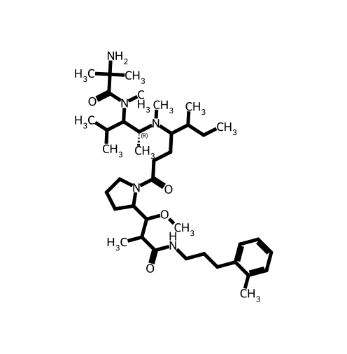 CCC(C)C(CCC(=O)N1CCCC1C(OC)C(C)C(=O)NCCCc1ccccc1C)N(C)[C@H](C)C(C(C)C)N(C)C(=O)C(C)(C)N